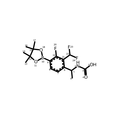 CC(NC(=O)O)c1ccc(B2OC(C)(C)C(C)(C)O2)c(F)c1C(F)F